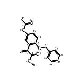 C=C(C(=O)OC)c1cc(OC(C)=O)ccc1OCc1ccccc1